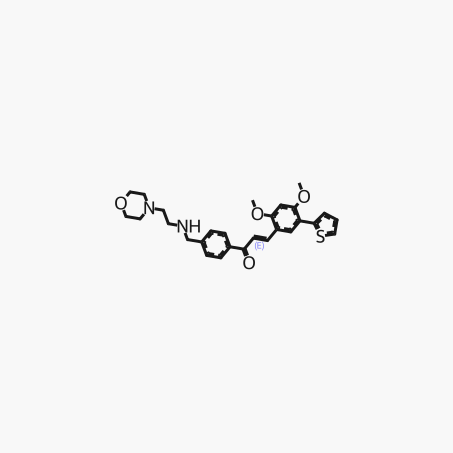 COc1cc(OC)c(-c2cccs2)cc1/C=C/C(=O)c1ccc(CNCCN2CCOCC2)cc1